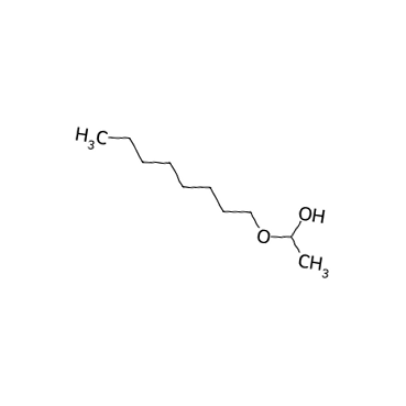 CCCCCCCCOC(C)O